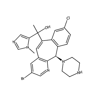 Cn1cncc1C(C)(O)C1=Cc2cc(Br)cnc2[C@H](N2CCNCC2)c2ccc(Cl)cc21